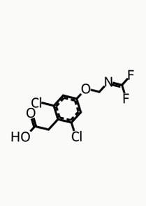 O=C(O)Cc1c(Cl)cc(OCN=C(F)F)cc1Cl